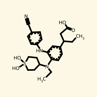 CCC(CC(=O)O)c1ccc(N(CC)C2CCS(O)(O)CC2)c(Nc2ccc(C#N)cc2)c1